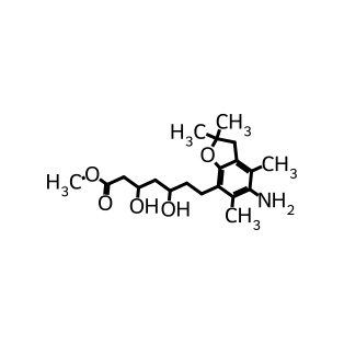 COC(=O)CC(O)CC(O)CCc1c(C)c(N)c(C)c2c1OC(C)(C)C2